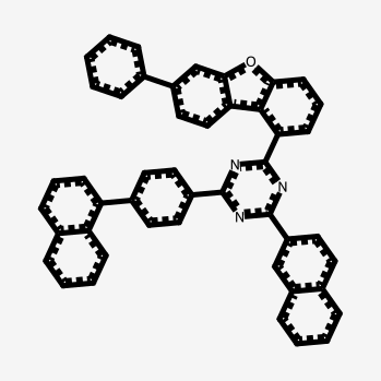 c1ccc(-c2ccc3c(c2)oc2cccc(-c4nc(-c5ccc(-c6cccc7ccccc67)cc5)nc(-c5ccc6ccccc6c5)n4)c23)cc1